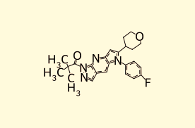 CC(C)(C)C(=O)n1ncc2cc3c(cc(C4CCOCC4)n3-c3ccc(F)cc3)nc21